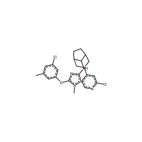 Cc1cc(Cl)cc(Oc2nc(NC3C4CCC3CN(c3ccnc(Cl)c3)C4)nn2C)c1